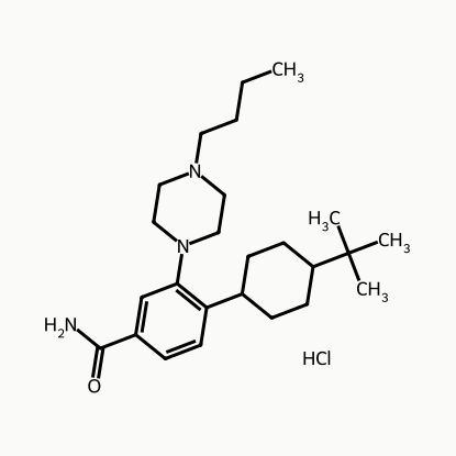 CCCCN1CCN(c2cc(C(N)=O)ccc2C2CCC(C(C)(C)C)CC2)CC1.Cl